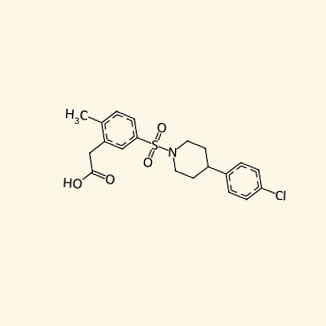 Cc1ccc(S(=O)(=O)N2CCC(c3ccc(Cl)cc3)CC2)cc1CC(=O)O